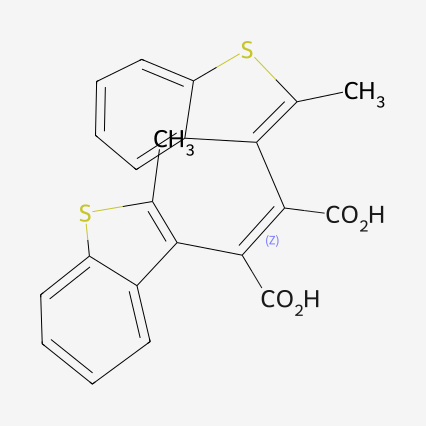 Cc1sc2ccccc2c1/C(C(=O)O)=C(/C(=O)O)c1c(C)sc2ccccc12